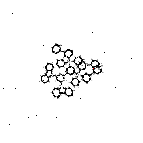 c1ccc(-c2cccc([Si](c3ccccc3)(c3ccccc3)c3cc(-c4nc(-n5c6ccccc6c6ccccc65)cc(-n5c6ccccc6c6ccccc65)n4)cc([Si](c4ccccc4)(c4cccc(-c5ccccc5)c4)c4cccc(-c5ccccc5)c4)c3)c2)cc1